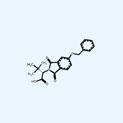 CC(C)(C)[C@@H](C(=O)O)N1C(=O)c2ccc(OCc3ccccc3)cc2C1=O